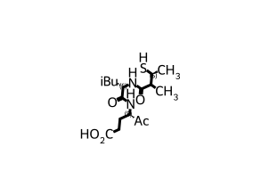 CCC(C)[C@H](NC(=O)C(C)[C@H](C)S)C(=O)N[C@@H](CCC(=O)O)C(C)=O